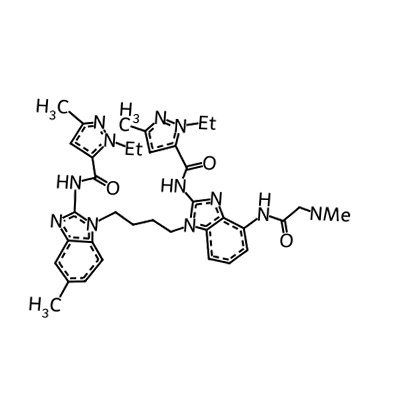 CCn1nc(C)cc1C(=O)Nc1nc2cc(C)ccc2n1CCCCn1c(NC(=O)c2cc(C)nn2CC)nc2c(NC(=O)CNC)cccc21